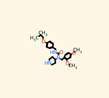 COc1ccc(CN(C(=O)NCc2ccc(OCC(C)C)cc2)C2CCNCC2)c(OC)c1